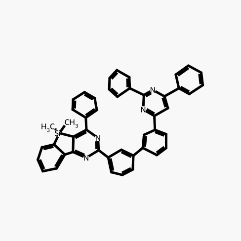 C[Si]1(C)c2ccccc2-c2nc(-c3cccc(-c4cccc(-c5cc(-c6ccccc6)nc(-c6ccccc6)n5)c4)c3)nc(-c3ccccc3)c21